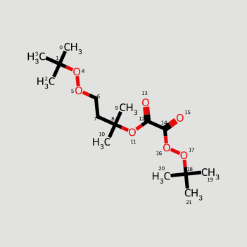 CC(C)(C)OOCCC(C)(C)OC(=O)C(=O)OOC(C)(C)C